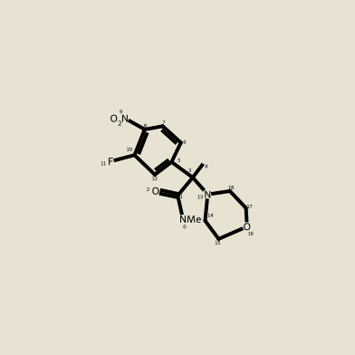 CNC(=O)C(C)(c1ccc([N+](=O)[O-])c(F)c1)N1CCOCC1